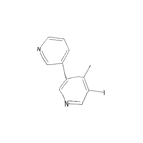 Cc1c(I)cncc1-c1cccnc1